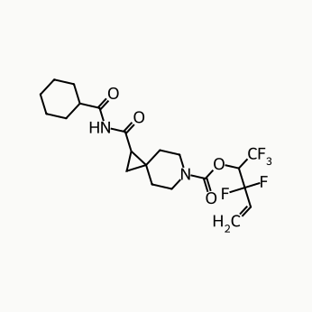 C=CC(F)(F)C(OC(=O)N1CCC2(CC1)CC2C(=O)NC(=O)C1CCCCC1)C(F)(F)F